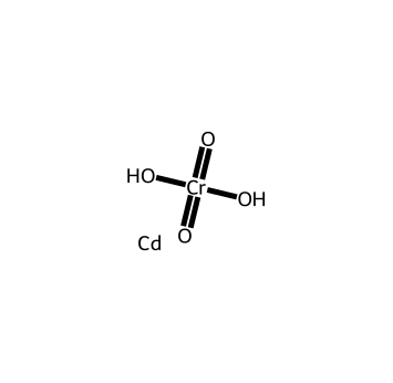 [Cd].[O]=[Cr](=[O])([OH])[OH]